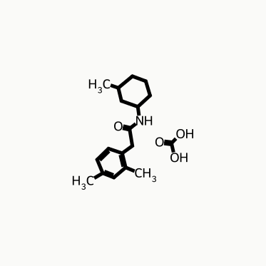 Cc1ccc(CC(=O)NC2CCCC(C)C2)c(C)c1.O=C(O)O